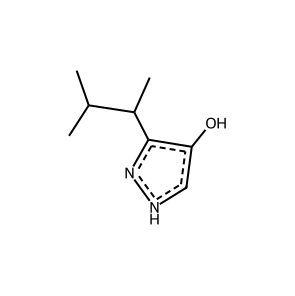 CC(C)C(C)c1n[nH]cc1O